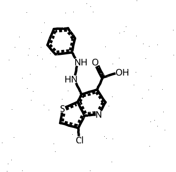 O=C(O)c1cnc2c(Cl)csc2c1NNc1ccccc1